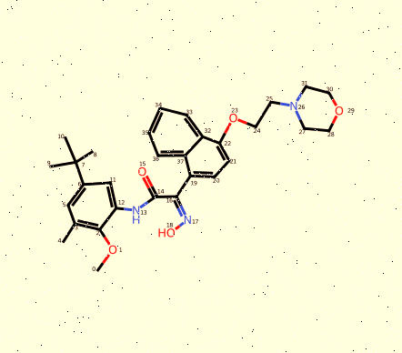 COc1c(C)cc(C(C)(C)C)cc1NC(=O)/C(=N\O)c1ccc(OCCN2CCOCC2)c2ccccc12